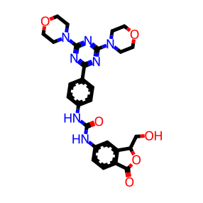 O=C(Nc1ccc(-c2nc(N3CCOCC3)nc(N3CCOCC3)n2)cc1)Nc1ccc2c(c1)C(CO)OC2=O